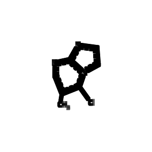 Cc1cnc2nccn2c1Cl